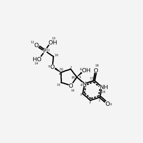 O=c1ccn([C@@]2(O)C[C@H](OCP(=O)(O)O)CO2)c(=O)[nH]1